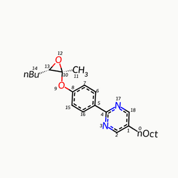 CCCCCCCCc1cnc(-c2ccc(O[C@]3(C)O[C@H]3CCCC)cc2)nc1